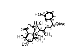 CC[C@@H]1CC(C)(C)[C@]23C[C@H](OC(=O)C2=C1O)[C@H](C)[C@@H]([C@@H](C)CC[C@H](OC)c1cccc(O)c1)O3